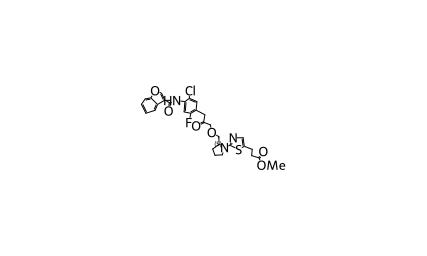 COC(=O)CCc1cnc(N2CCC[C@H]2COCC(=O)Cc2cc(Cl)c(NC(=O)c3coc4ccccc34)cc2F)s1